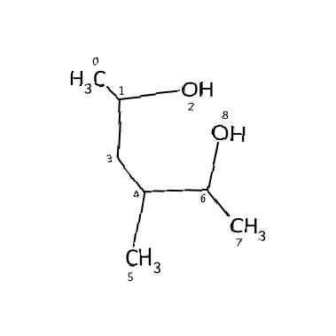 CC(O)CC(C)C(C)O